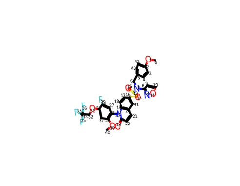 COc1ccc(CN(c2ccon2)S(=O)(=O)c2ccc3c(ccc(=O)n3-c3cc(F)c(OCC(F)(F)F)cc3OC)c2)cc1